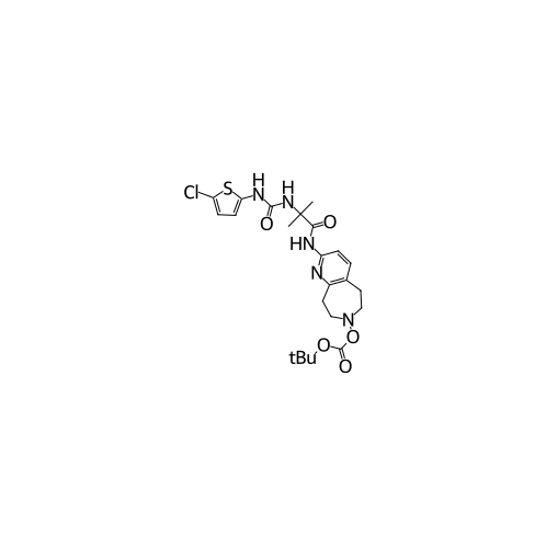 CC(C)(C)OC(=O)ON1CCc2ccc(NC(=O)C(C)(C)NC(=O)Nc3ccc(Cl)s3)nc2CC1